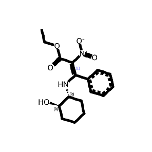 CCOC(=O)/C(=C(\N[C@@H]1CCCC[C@H]1O)c1ccccc1)[N+](=O)[O-]